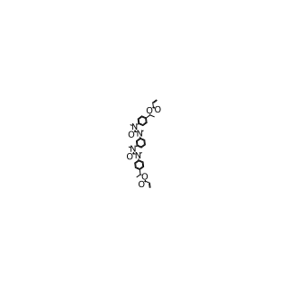 C=CC(=O)OC(C)c1ccc(N(C)C(=O)N(C)c2cccc(N(C)C(=O)N(C)c3ccc(C(C)OC(=O)C=C)cc3)c2)cc1